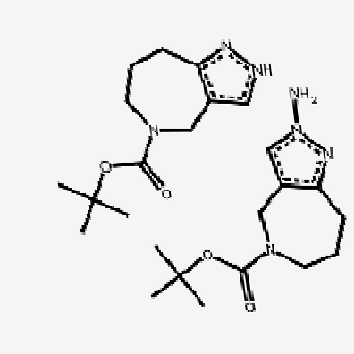 CC(C)(C)OC(=O)N1CCCc2n[nH]cc2C1.CC(C)(C)OC(=O)N1CCCc2nn(N)cc2C1